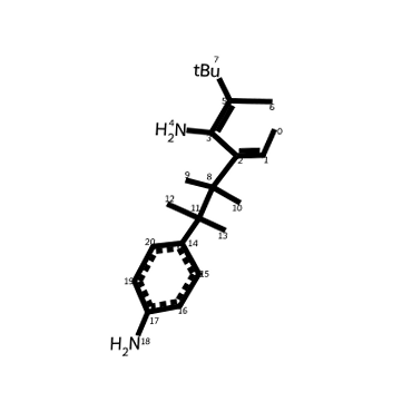 C/C=C(\C(N)=C(/C)C(C)(C)C)C(C)(C)C(C)(C)c1ccc(N)cc1